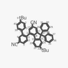 CC(C)(C)c1ccc(-c2cc(C#N)ccc2-c2cc(C#N)cc3c2-c2ccc(C(C)(C)C)cc2C3(c2ccccc2)c2ccccc2)cc1